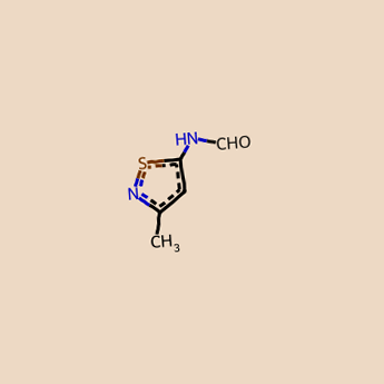 Cc1cc(NC=O)sn1